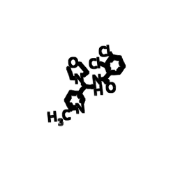 Cc1ccc(C(CNC(=O)c2cccc(Cl)c2Cl)N2CCOCC2)cn1